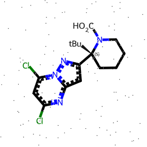 CC(C)(C)[C@]1(c2cc3nc(Cl)cc(Cl)n3n2)CCCCN1C(=O)O